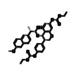 CCOC(=O)Oc1ccc(C2COc3cc(OC(=O)OCC)ccc3C2OC(O)[C@@H](C)c2ccc3cc(OC)ccc3c2)cc1